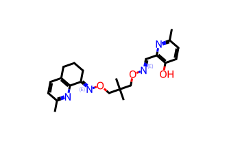 Cc1ccc(O)c(/C=N/OCC(C)(C)CO/N=C2\CCCc3ccc(C)nc32)n1